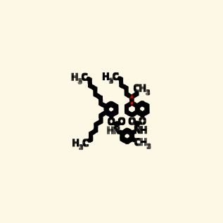 CCCCCCCc1cccc(OC(=O)Nc2ccc(C)c(NC(=O)Oc3cccc(CCCCCCC)c3CCCCCCC)c2)c1CCCCCCC